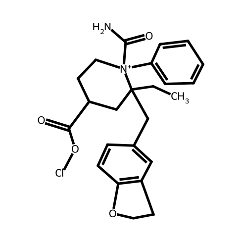 CCC1(Cc2ccc3c(c2)CCO3)CC(C(=O)OCl)CC[N+]1(C(N)=O)c1ccccc1